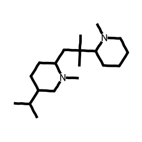 CC(C)C1CCC(CC(C)(C)C2CCCCN2C)N(C)C1